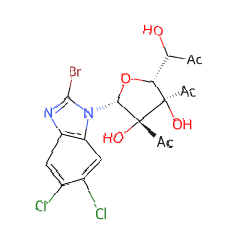 CC(=O)C(O)[C@H]1O[C@@H](n2c(Br)nc3cc(Cl)c(Cl)cc32)[C@](O)(C(C)=O)[C@@]1(O)C(C)=O